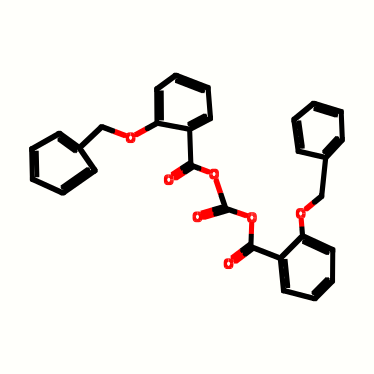 O=C(OC(=O)c1ccccc1OCc1ccccc1)OC(=O)c1ccccc1OCc1ccccc1